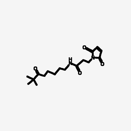 CC(C)(C)C(=O)CCCCCNC(=O)CCN1C(=O)C=CC1=O